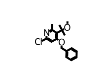 COC(C)(C)c1c(OCc2ccccc2)cc(Cl)nc1C